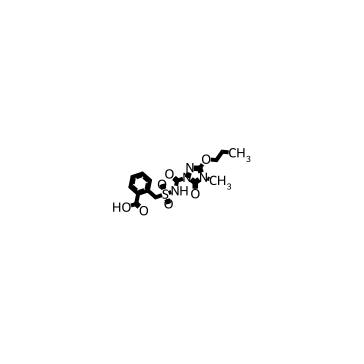 CCCOc1nn(C(=O)NS(=O)(=O)Cc2ccccc2C(=O)O)c(=O)n1C